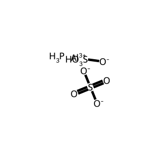 O=S(=O)([O-])O.O=S(=O)([O-])[O-].P.[Al+3]